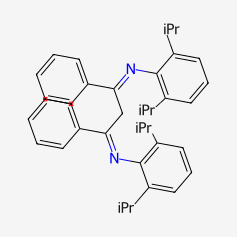 CC(C)c1cccc(C(C)C)c1/N=C(\C/C(=N\c1c(C(C)C)cccc1C(C)C)c1ccccc1)c1ccccc1